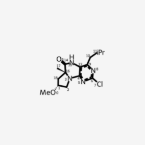 CO[C@H]1CN2c3nc(Cl)nc(CC(C)C)c3NC(=O)[C@@]2(C)C1